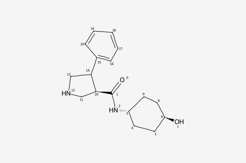 O=C(N[C@H]1CC[C@H](O)CC1)[C@H]1CNCC1c1ccccc1